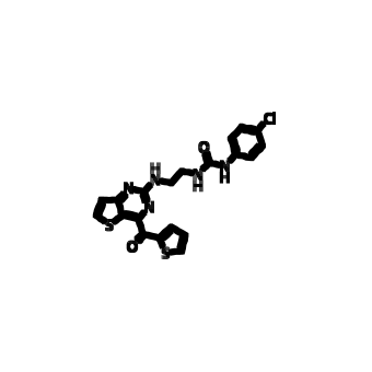 O=C(NCCNc1nc(C(=O)c2cccs2)c2sccc2n1)Nc1ccc(Cl)cc1